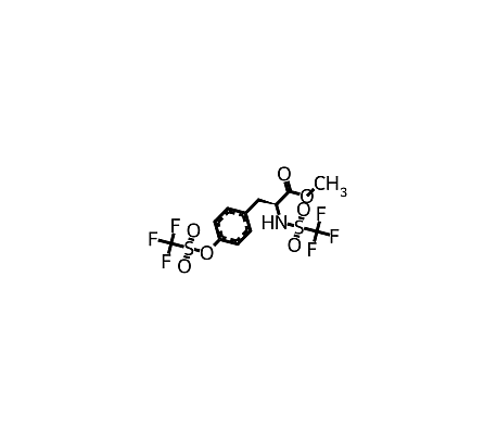 COC(=O)[C@H](Cc1ccc(OS(=O)(=O)C(F)(F)F)cc1)NS(=O)(=O)C(F)(F)F